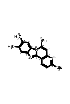 Cc1cc2nc3c4ccc(C(C)(C)C)nc4cc(C(C)(C)C)n3c2cc1C